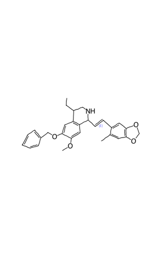 CCC1CNC(/C=C/c2cc3c(cc2C)OCO3)c2cc(OC)c(OCc3ccccc3)cc21